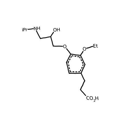 CCOc1cc(CCC(=O)O)ccc1OCC(O)CNC(C)C